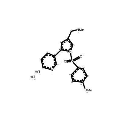 CNCc1cc(-c2cccnc2)n(S(=O)(=O)c2ccc(OC)cc2)c1.Cl.Cl